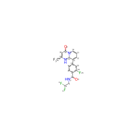 O=C(NCC(F)F)c1ccc(C2=CC=CN3C(=O)C=C(C(F)(F)F)NC23)cc1F